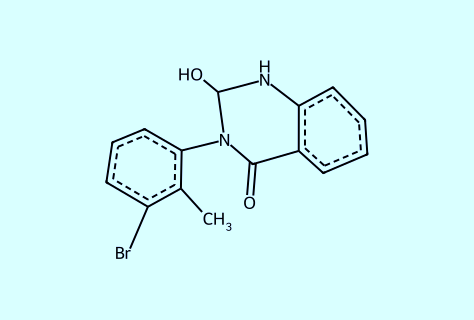 Cc1c(Br)cccc1N1C(=O)c2ccccc2NC1O